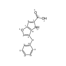 O=C(O)c1cc2occ(Cc3ccccc3)c2[nH]1